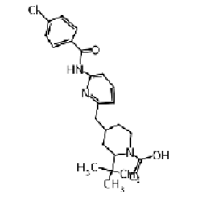 CC(C)(C)C1CC(Cc2cccc(NC(=O)c3ccc(Cl)cc3)n2)CCN1C(=O)O